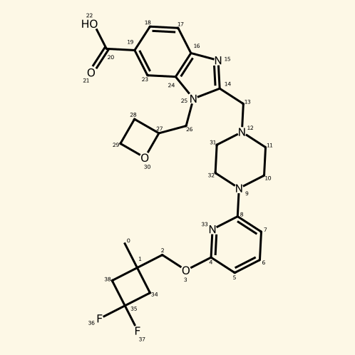 CC1(COc2cccc(N3CCN(Cc4nc5ccc(C(=O)O)cc5n4CC4CCO4)CC3)n2)CC(F)(F)C1